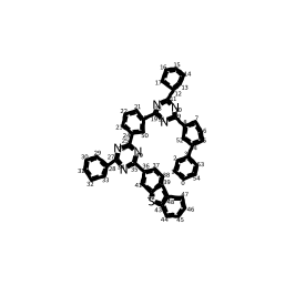 c1ccc(-c2cccc(-c3nc(-c4ccccc4)nc(-c4cccc(-c5nc(-c6ccccc6)nc(-c6ccc7c(c6)sc6ccccc67)n5)c4)n3)c2)cc1